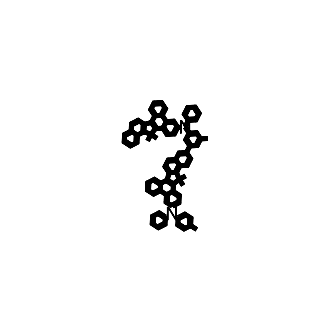 Cc1ccc(N(c2ccccc2)c2ccc3c4c(c5ccccc5c3c2)-c2ccc3cc(-c5cc(C)cc(N(c6ccccc6)c6ccc7c8c(c9ccccc9c7c6)-c6ccc7ccccc7c6C8(C)C)c5)ccc3c2C4(C)C)cc1